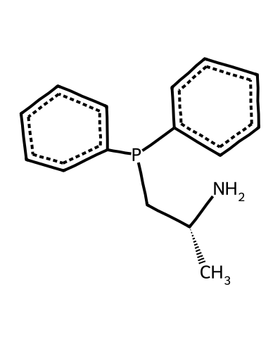 C[C@@H](N)CP(c1ccccc1)c1ccccc1